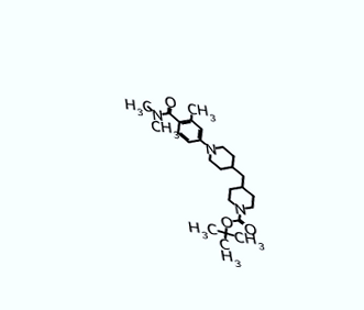 Cc1cc(N2CCC(CC3CCN(C(=O)OC(C)(C)C)CC3)CC2)ccc1C(=O)N(C)C